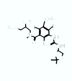 CC(=O)OCc1c(I)c(NC(=O)NC2COC(C)(C)O2)c(I)c(C(=O)N(C)CC(COC(C)=O)OC(C)=O)c1I